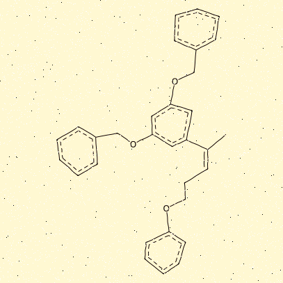 CC(=CCCOc1ccccc1)c1cc(OCc2ccccc2)cc(OCc2ccccc2)c1